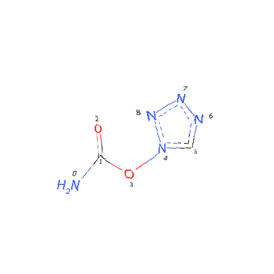 NC(=O)On1cnnn1